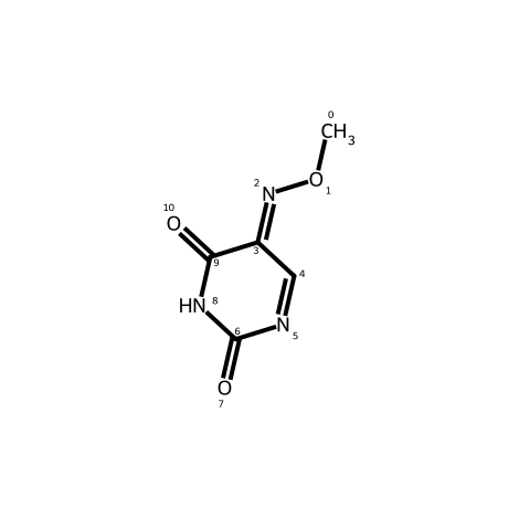 CON=C1C=NC(=O)NC1=O